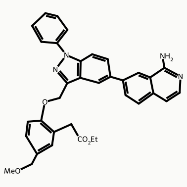 CCOC(=O)Cc1cc(COC)ccc1OCc1nn(-c2ccccc2)c2ccc(-c3ccc4ccnc(N)c4c3)cc12